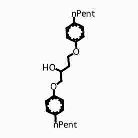 CCCCCc1ccc(OCCC(O)COc2ccc(CCCCC)cc2)cc1